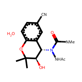 CNC(=O)N(NC(C)=O)[C@H]1c2cc(C#N)ccc2OC(C)(C)[C@@H]1O.O